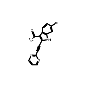 O=C(c1c(C#Cc2ncccn2)[nH]c2cc(Br)ccc12)C(F)(F)F